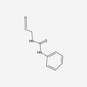 O=[C]CNC(=O)Nc1ccccc1